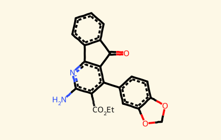 CCOC(=O)c1c(N)nc2c(c1-c1ccc3c(c1)OCO3)C(=O)c1ccccc1-2